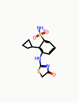 NS(=O)(=O)c1cccc(NC2=NC(=O)CS2)c1C1CCC1